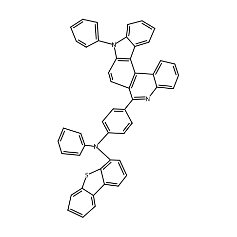 c1ccc(N(c2ccc(-c3nc4ccccc4c4c3ccc3c4c4ccccc4n3-c3ccccc3)cc2)c2cccc3c2sc2ccccc23)cc1